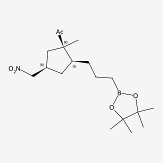 CC(=O)[C@]1(C)C[C@H](C[N+](=O)[O-])C[C@@H]1CCCB1OC(C)(C)C(C)(C)O1